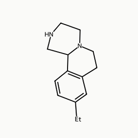 CCc1ccc2c(c1)CCN1CCNCC21